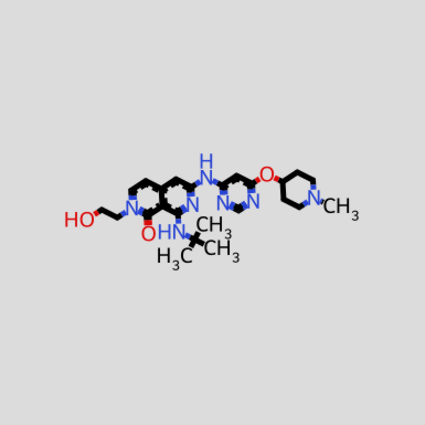 CN1CCC(Oc2cc(Nc3cc4ccn(CCO)c(=O)c4c(NC(C)(C)C)n3)ncn2)CC1